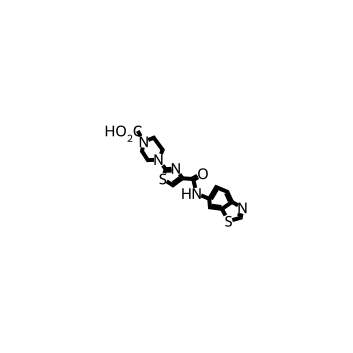 O=C(Nc1ccc2ncsc2c1)c1csc(N2CCN(C(=O)O)CC2)n1